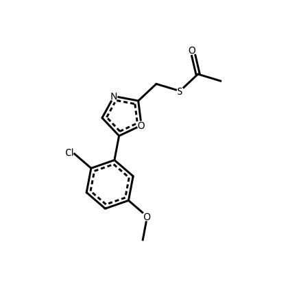 COc1ccc(Cl)c(-c2cnc(CSC(C)=O)o2)c1